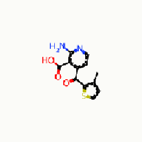 Cc1ccsc1C(=O)c1ccnc(N)c1C(=O)O